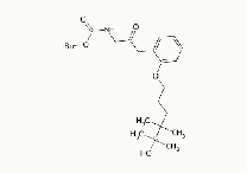 CC(C)(C)OC(=O)NCC(=O)Cc1ccccc1OCCCC(C)(C)[Si](C)(C)O